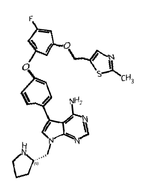 Cc1ncc(COc2cc(F)cc(Oc3ccc(-c4cn(C[C@@H]5CCCN5)c5ncnc(N)c45)cc3)c2)s1